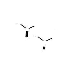 CCC(C)[PH](=O)[O-].CCC(C)[PH](=O)[O-].[Fe+2]